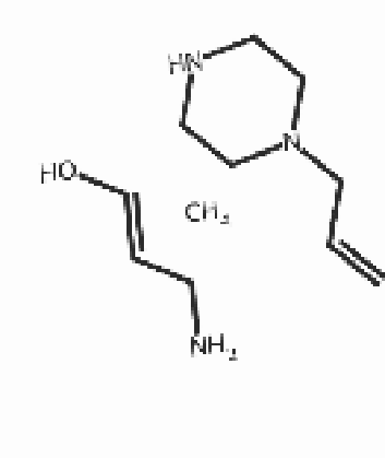 C.C=CCN1CCNCC1.NCC=CO